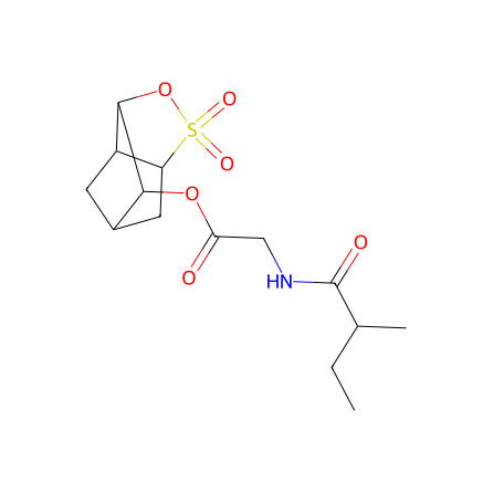 CCC(C)C(=O)NCC(=O)OC1C2CC3C1OS(=O)(=O)C3C2